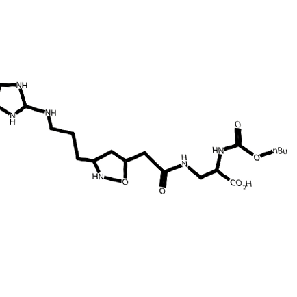 CCCCOC(=O)NC(CNC(=O)CC1CC(CCCNC2NCCN2)NO1)C(=O)O